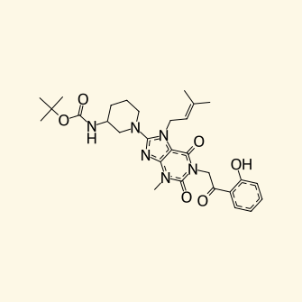 CC(C)=CCn1c(N2CCCC(NC(=O)OC(C)(C)C)C2)nc2c1c(=O)n(CC(=O)c1ccccc1O)c(=O)n2C